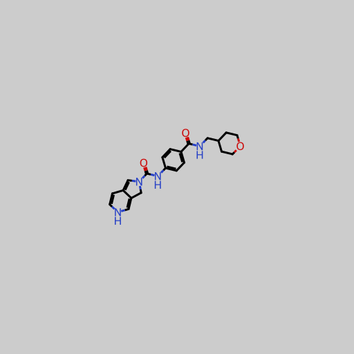 O=C(NCC1CCOCC1)c1ccc(NC(=O)N2C=C3C=CNC=C3C2)cc1